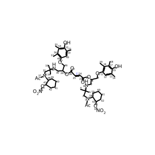 CC(=O)N(CC(C)(C)NCC(COc1cc(C)c(O)c(C)c1C)OC(=O)/C=C/C(=O)OC(CNC(C)(C)CN(C(C)=O)C1CCCCC1O[N+](=O)[O-])COc1cc(C)c(O)c(C)c1C)C1CCCCC1O[N+](=O)[O-]